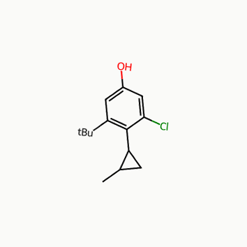 CC1CC1c1c(Cl)cc(O)cc1C(C)(C)C